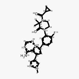 Cn1cc(-c2cc(-c3ccc(F)c(N4CCN(C(=O)C5CC5)C(C)(C)C4=O)c3)n3ncnc(N)c23)cn1